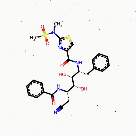 CN(c1nc(C(=O)N[C@H](Cc2ccccc2)[C@@H](O)[C@H](O)[C@H](CC#N)NC(=O)c2ccccc2)cs1)S(C)(=O)=O